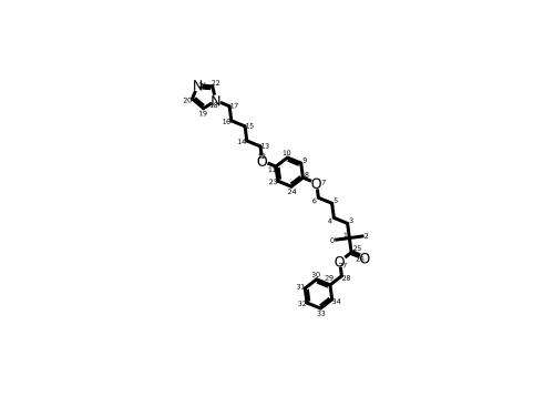 CC(C)(CCCCOc1ccc(OCCCCCn2ccnc2)cc1)C(=O)OCc1ccccc1